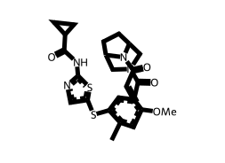 C=CC(=O)N1C2CCC1CN(C(=O)c1cc(Sc3cnc(NC(=O)C4CC4)s3)c(C)cc1OC)C2